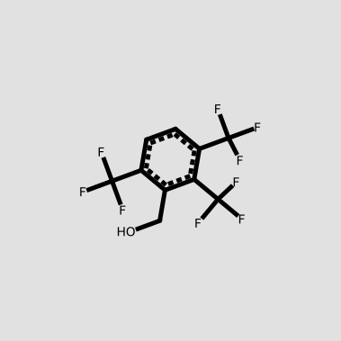 OCc1c(C(F)(F)F)ccc(C(F)(F)F)c1C(F)(F)F